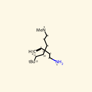 C=CC(CCN)(CCCNC)CCC(C)(C)C